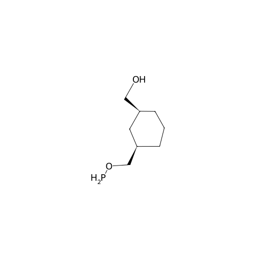 OC[C@H]1CCC[C@@H](COP)C1